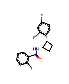 O=C(N[C@H]1CC[C@H]1c1ccc(F)cc1F)c1ccccc1I